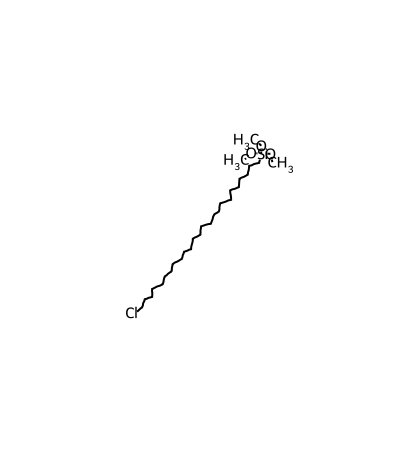 CO[Si](CCCCCCCCCCCCCCCCCCCCCCCCCCl)(OC)OC